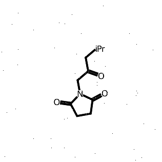 CC(C)CC(=O)CN1C(=O)CCC1=O